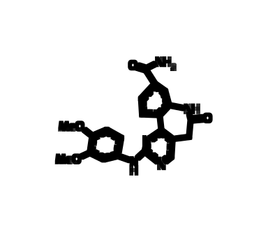 COc1ccc(Nc2ncc3c(n2)-c2ccc(C(N)=O)cc2NC(=O)C3)cc1OC